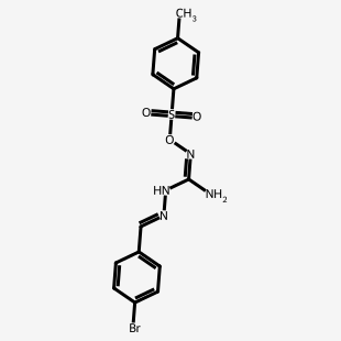 Cc1ccc(S(=O)(=O)ON=C(N)NN=Cc2ccc(Br)cc2)cc1